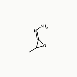 CC1OC1=NN